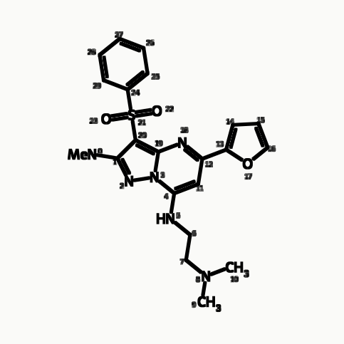 CNc1nn2c(NCCN(C)C)cc(-c3ccco3)nc2c1S(=O)(=O)c1ccccc1